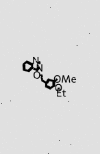 CCOc1ccc(CCOc2ncnc3ccccc23)cc1OC